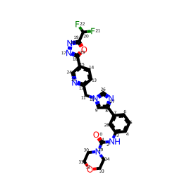 O=C(Nc1cccc(-c2cn(Cc3ccc(-c4nnc(C(F)F)o4)cn3)cn2)c1)N1CCOCC1